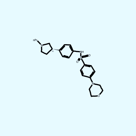 CCCN1CC[C@@H](c2ccc(NS(=O)(=O)c3ccc(N4CCOCC4)cc3)cc2)C1